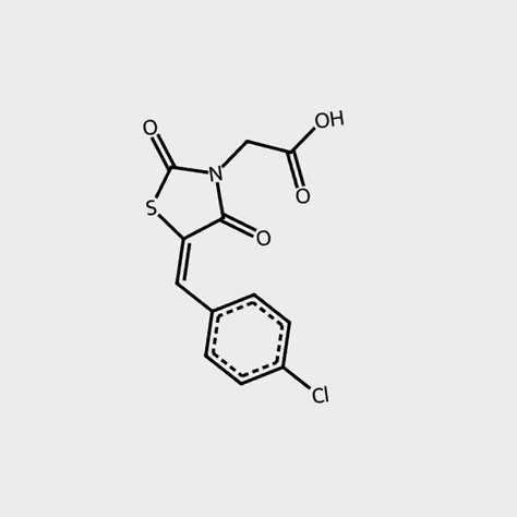 O=C(O)CN1C(=O)SC(=Cc2ccc(Cl)cc2)C1=O